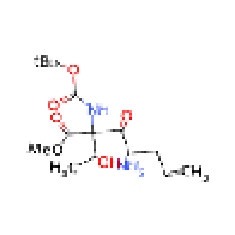 C=CCC(N)C(=O)C(NC(=O)OC(C)(C)C)(C(=O)OC)C(C)O